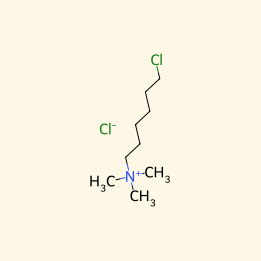 C[N+](C)(C)CCCCCCCl.[Cl-]